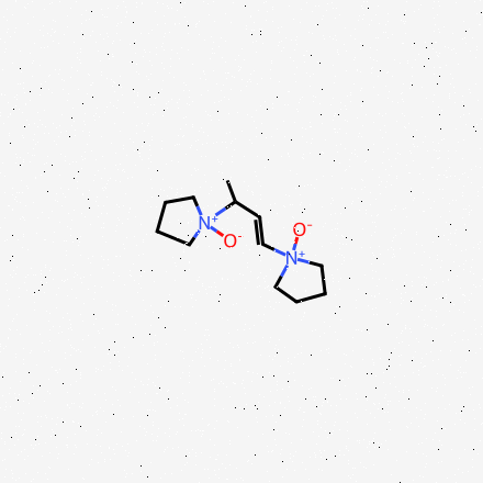 CC(C=C[N+]1([O-])CCCC1)[N+]1([O-])CCCC1